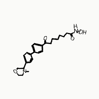 CN1CCOCC1c1ccc(-c2ccc(C(=O)CCCCCCC(=O)NO)cc2)cc1